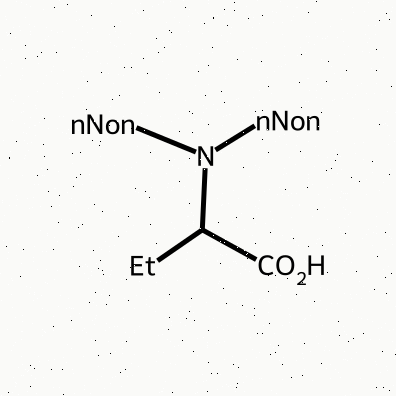 CCCCCCCCCN(CCCCCCCCC)C(CC)C(=O)O